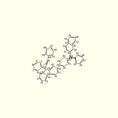 C(#CC1(c2ccccc2)c2ccccc2-c2ccc(C3=CC=C(N(c4ccccc4)c4ccc5ccccc5c4)CC3)cc21)c1ccccc1